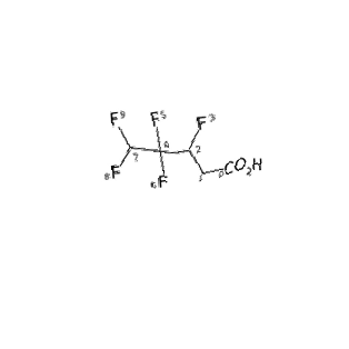 O=C(O)CC(F)C(F)(F)C(F)F